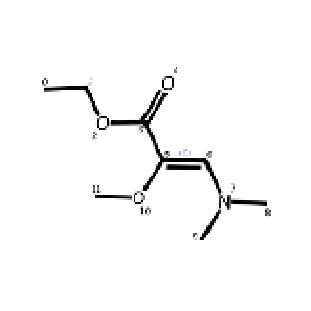 CCOC(=O)/C(=C/N(C)C)OC